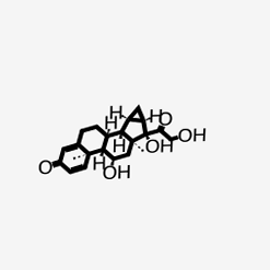 C[C@]12C=CC(=O)C=C1CC[C@@H]1[C@@H]2[C@H](O)C[C@@]2(C)[C@H]1[C@H]1C[C@H]1[C@]2(O)C(=O)CO